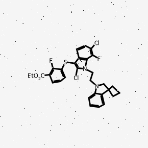 CCOC(=O)c1cccc(Sc2c(Cl)n(CCN3CC4(CCC4)c4ccccc43)c3c(F)c(Cl)ccc23)c1F